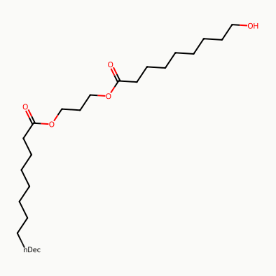 CCCCCCCCCCCCCCCCCC(=O)OCCCOC(=O)CCCCCCCCO